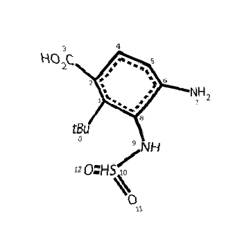 CC(C)(C)c1c(C(=O)O)ccc(N)c1N[SH](=O)=O